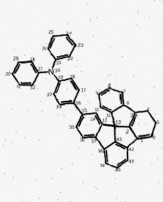 C1=C2C3=C(CC1)c1ccccc1C31c3cc(-c4ccc(N(c5ccccc5)c5ccccc5)cc4)ccc3-c3cccc2c31